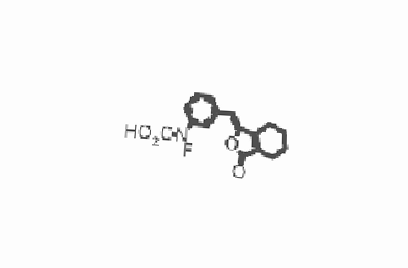 O=C1OC(=Cc2cccc(N(F)C(=O)O)c2)C2=C1CCCC2